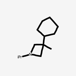 CC(C)N1CC(C)(C2CCCCC2)C1